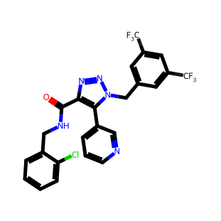 O=C(NCc1ccccc1Cl)c1nnn(Cc2cc(C(F)(F)F)cc(C(F)(F)F)c2)c1-c1cccnc1